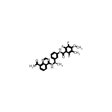 COc1c(C)c(F)c(C(=O)Nc2cccc([C@@H](C)Nc3ncnc4c(C(N)=O)cccc34)c2)c(F)c1F